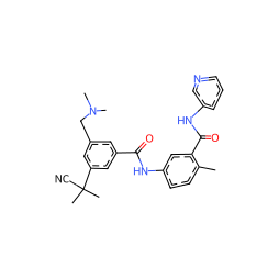 Cc1ccc(NC(=O)c2cc(CN(C)C)cc(C(C)(C)C#N)c2)cc1C(=O)Nc1cccnc1